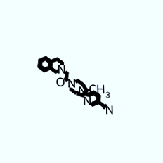 C[C@H]1CC2CN(C(=O)CN3CCc4ccccc4C3)CC1N2c1ccc(C#N)cn1